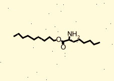 CCCCCCCCCOC(=O)C(N)CCCCCC